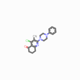 N#Cc1c(N2CCN(c3ccccc3)CC2)nc2c(c1Cl)C(=O)CCC2